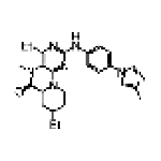 CCc1nc(Nc2ccc(-n3cnc(C)c3)cc2)nc2c1N(C)C(=O)C1CC(CC)CCN21